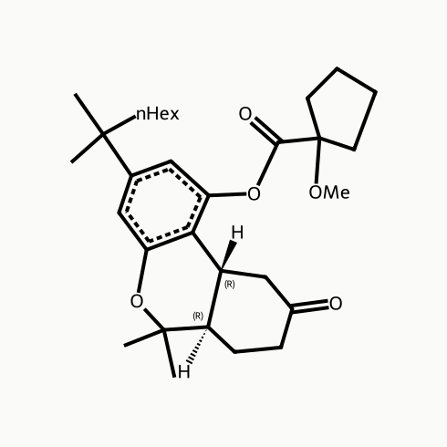 CCCCCCC(C)(C)c1cc(OC(=O)C2(OC)CCCC2)c2c(c1)OC(C)(C)[C@@H]1CCC(=O)C[C@@H]21